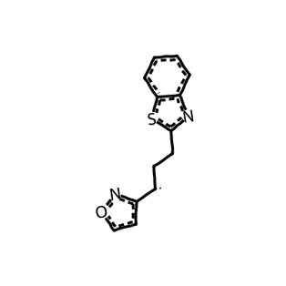 [CH](CCc1nc2ccccc2s1)c1ccon1